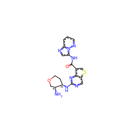 N[C@H]1COCC[C@H]1Nc1ncc2scc(C(=O)Nc3cnc4cccnn34)c2n1